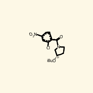 CC(C)CO[C@H]1CCN(C(=O)c2ccc([N+](=O)[O-])cc2Cl)C1